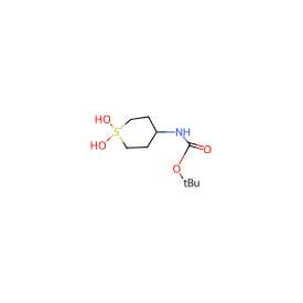 CC(C)(C)OC(=O)NC1CCS(O)(O)CC1